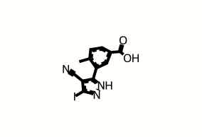 Cc1ccc(C(=O)O)cc1-c1[nH]nc(I)c1C#N